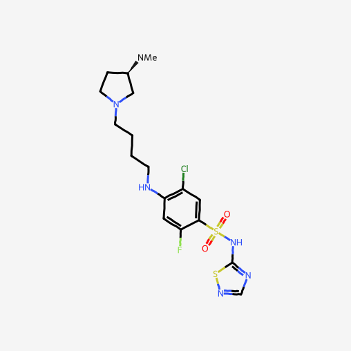 CN[C@@H]1CCN(CCCCNc2cc(F)c(S(=O)(=O)Nc3ncns3)cc2Cl)C1